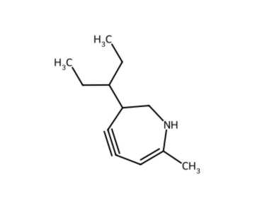 CCC(CC)C1C#CC=C(C)NC1